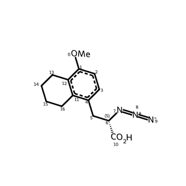 COc1ccc(C[C@H](N=[N+]=[N-])C(=O)O)c2c1CCCC2